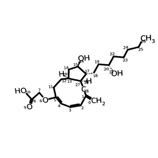 C=C1/C=C\C=C(\OCC(=O)O)CC[C@H]2C[C@@H](O)[C@H](CC[C@@H](O)CCCCC)[C@H]2C1